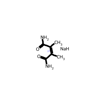 C/C(C(N)=O)=C(\C)C(N)=O.[NaH]